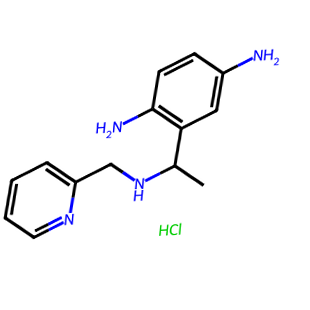 CC(NCc1ccccn1)c1cc(N)ccc1N.Cl